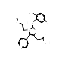 COCCN1C(c2ccncc2)=C(CC(N)=O)SC1Nc1cc(Cl)ccc1Cl